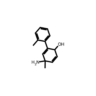 Cc1ccccc1C1=CC(C)(N)C=CC1O